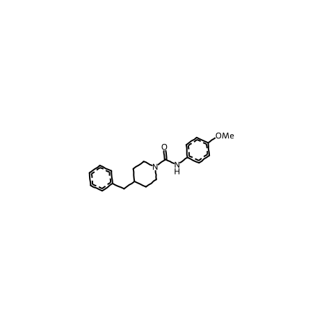 COc1ccc(NC(=O)N2CCC(Cc3ccccc3)CC2)cc1